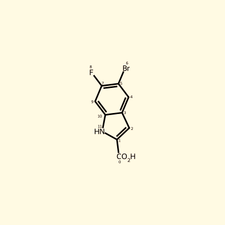 O=C(O)c1cc2cc(Br)c(F)cc2[nH]1